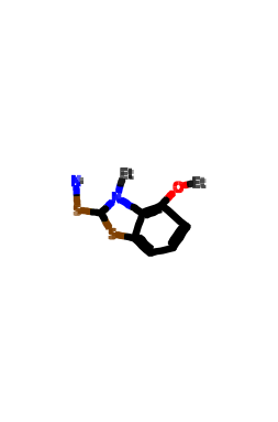 CCOc1cccc2c1N(CC)C(S[N])S2